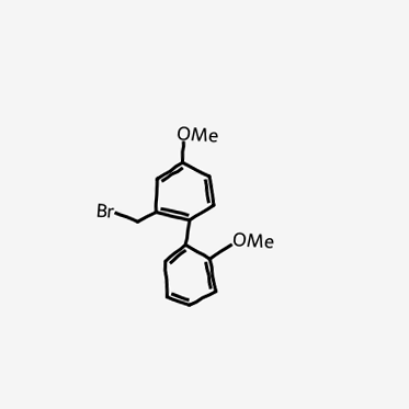 COc1ccc(-c2ccccc2OC)c(CBr)c1